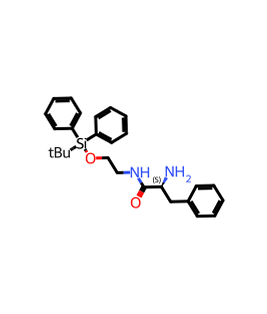 CC(C)(C)[Si](OCCNC(=O)[C@@H](N)Cc1ccccc1)(c1ccccc1)c1ccccc1